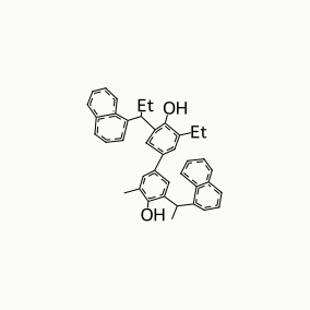 CCc1cc(-c2cc(C)c(O)c(C(C)c3cccc4ccccc34)c2)cc(C(CC)c2cccc3ccccc23)c1O